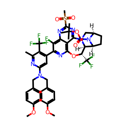 COc1ccc(CN(Cc2ccc(OC)cc2)c2cc(-c3nc4c5c(nc(S(C)(=O)=O)nc5c3F)N3C[C@H]5CC[C@@H]([C@H]3[C@H](C(F)(F)F)O4)N5C(=O)OC(C)(C)C)c(C(F)(F)F)c(C)n2)cc1